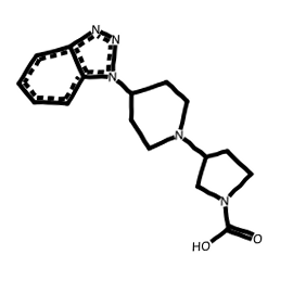 O=C(O)N1CCC(N2CCC(n3nnc4ccccc43)CC2)C1